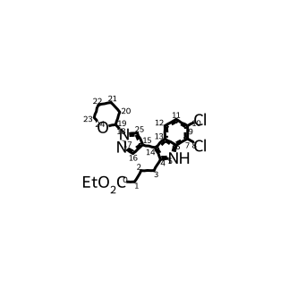 CCOC(=O)CCCc1[nH]c2c(Cl)c(Cl)ccc2c1-c1cnn(C2CCCCO2)c1